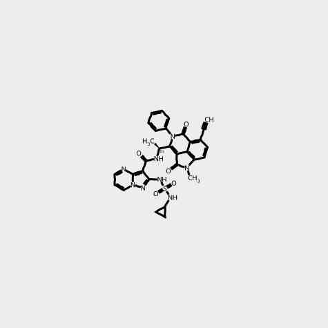 C#Cc1ccc2c3c(c([C@H](C)NC(=O)c4c(NS(=O)(=O)NC5CC5)nn5cccnc45)n(-c4ccccc4)c(=O)c13)C(=O)N2C